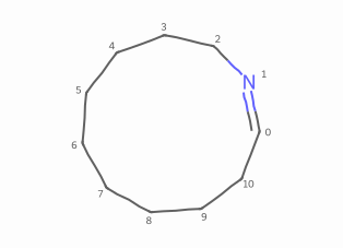 C1=NCCCCCCCCC1